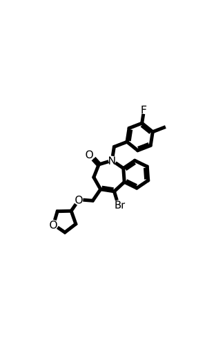 Cc1ccc(CN2C(=O)CC(COC3CCOC3)=C(Br)c3ccccc32)cc1F